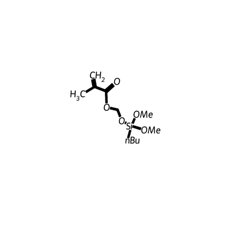 C=C(C)C(=O)OCO[Si](CCCC)(OC)OC